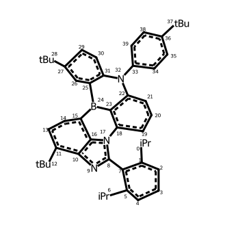 CC(C)c1cccc(C(C)C)c1-c1nc2c(C(C)(C)C)ccc3c2n1-c1cccc2c1B3c1cc(C(C)(C)C)ccc1N2c1ccc(C(C)(C)C)cc1